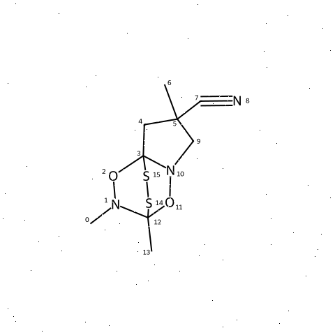 CN1OC23CC(C)(C#N)CN2OC1(C)SS3